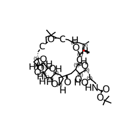 C=C1[C@H](C)C[C@@H]2CCC3OC(CC[C@@]45C[C@H]6O[C@H]7[C@@H](O4)[C@H]4O[C@H](CC[C@@H]4O[C@H]7[C@H]6O5)CC(=O)CC4[C@H](C[C@H]1O2)O[C@H](C[C@H](O)CNC(=O)OC(C)(C)C)[C@@H]4OC)CC3(C)C